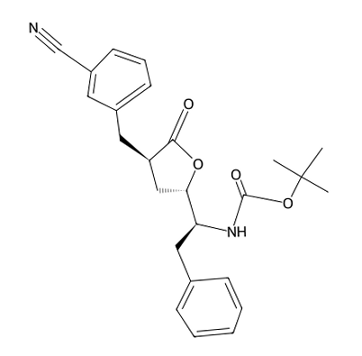 CC(C)(C)OC(=O)N[C@@H](Cc1ccccc1)[C@@H]1C[C@@H](Cc2cccc(C#N)c2)C(=O)O1